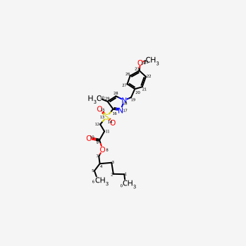 CCCCC(CC)COC(=O)CCS(=O)(=O)c1nn(Cc2ccc(OC)cc2)cc1C